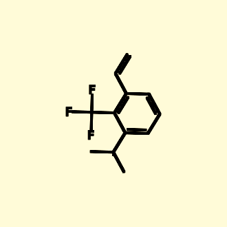 C=Cc1cccc([C](C)C)c1C(F)(F)F